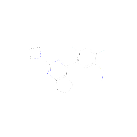 NSc1cc(-c2nc(N3CCC3)nc3c2CCC3)c(F)cc1F